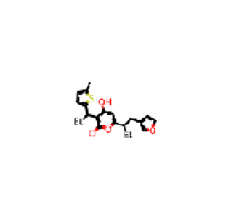 CCC(Cc1ccoc1)c1cc(O)c(C(CC)c2ccc(C)s2)c(=O)o1